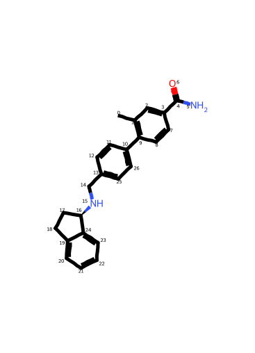 Cc1cc(C(N)=O)ccc1-c1ccc(CN[C@@H]2CCc3ccccc32)cc1